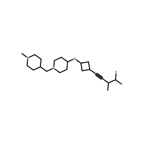 CC(C#CC1CC(OC2CCN(CC3CCN(C)CC3)CC2)C1)C(F)F